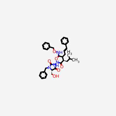 CC(C)C[C@@H](C(=O)NN1C(=O)[C@H](CO)N(Cc2ccccc2)C1=O)C(C/C=C/c1ccccc1)C(=O)NOCc1ccccc1